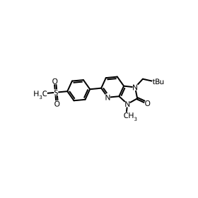 Cn1c(=O)n(CC(C)(C)C)c2ccc(-c3ccc(S(C)(=O)=O)cc3)nc21